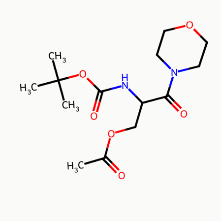 CC(=O)OCC(NC(=O)OC(C)(C)C)C(=O)N1CCOCC1